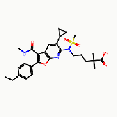 CCc1ccc(-c2oc3nc(N(CCCC(C)(C)C(=O)O)S(C)(=O)=O)c(C4CC4)cc3c2C(=O)NC)cc1